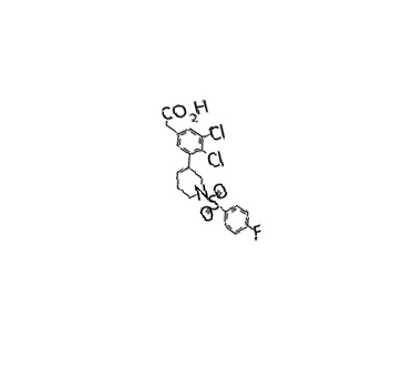 O=C(O)Cc1cc(Cl)c(Cl)c(C2CCCN(S(=O)(=O)c3ccc(F)cc3)C2)c1